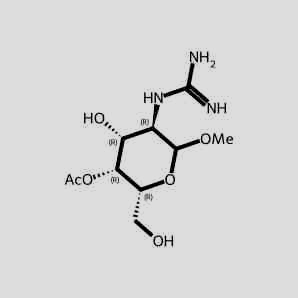 COC1O[C@H](CO)[C@H](OC(C)=O)[C@H](O)[C@H]1NC(=N)N